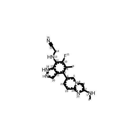 CNc1cn2cc(-c3c(C)c(F)c(NCC#N)c4[nH]ncc34)ccc2n1